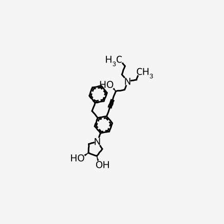 CCCN(CC)C[C@H](O)C#Cc1ccc(N2C[C@@H](O)[C@@H](O)C2)cc1Cc1ccccc1